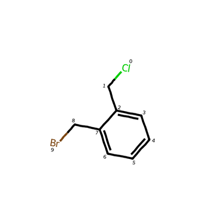 ClCc1ccccc1CBr